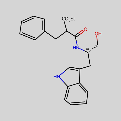 CCOC(=O)C(Cc1ccccc1)C(=O)N[C@H](CO)Cc1c[nH]c2ccccc12